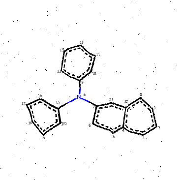 [c]1cccc2ccc(N(c3ccccc3)c3ccccc3)cc12